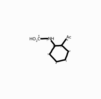 CC(=O)C1CCCCC1NC(=O)O